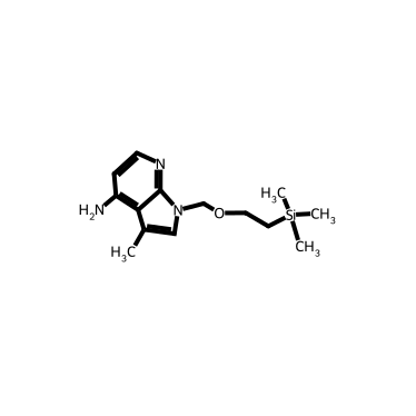 Cc1cn(COCC[Si](C)(C)C)c2nccc(N)c12